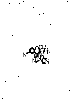 CC1(C)Oc2ccc(C#N)cc2[C@H](c2cnccn2)[C@]1(O)NCc1cccnc1